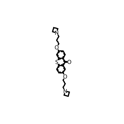 O=c1c2ccc(OCCCN3CCC3)cc2sc2ccc(OCCCN3CCC3)cc12